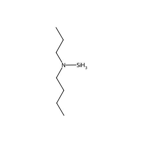 CCCCN([SiH3])CCC